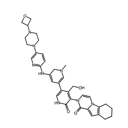 CN1C=C(c2c[nH]c(=O)c(-n3ccn4c5c(cc4c3=O)CCCC5)c2CO)C=C(Nc2ccc(N3CCN(C4COC4)CC3)cn2)C1